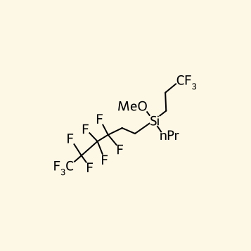 CCC[Si](CCC(F)(F)F)(CCC(F)(F)C(F)(F)C(F)(F)C(F)(F)F)OC